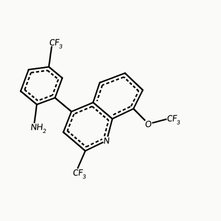 Nc1ccc(C(F)(F)F)cc1-c1cc(C(F)(F)F)nc2c(OC(F)(F)F)cccc12